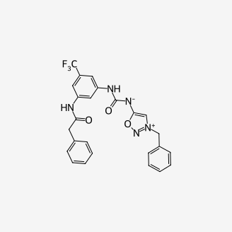 O=C(Cc1ccccc1)Nc1cc(NC(=O)[N-]c2c[n+](Cc3ccccc3)no2)cc(C(F)(F)F)c1